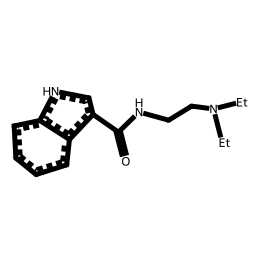 CCN(CC)CCNC(=O)c1c[nH]c2ccccc12